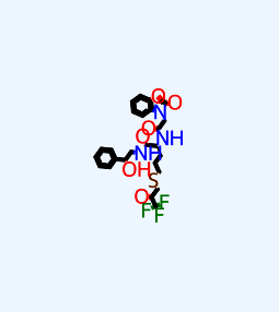 O=C(Cn1c(=O)oc2ccccc21)N[C@@H](CCCSCC(=O)C(F)(F)F)C(=O)NCC(O)c1ccccc1